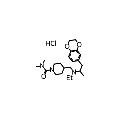 CCN(CC1CCN(C(=O)N(C)C)CC1)C(C)Cc1ccc2c(c1)OCCO2.Cl